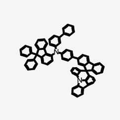 c1ccc(-c2cccc(N(c3ccc(-c4ccc5c(c4)C4(c6ccccc6-5)c5ccccc5-n5c6ccccc6c6cccc4c65)cc3)c3cccc4c3-c3ccccc3C4(c3ccccc3)c3ccccc3)c2)cc1